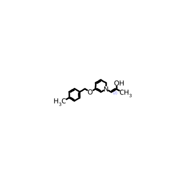 C/C(O)=C/N1C=C(OCc2ccc(C)cc2)C=CC1